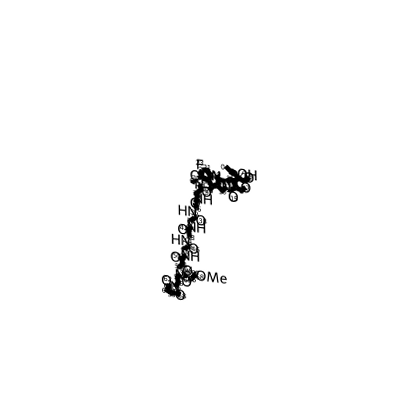 CC#C[C@@]1(O)C(=O)OCc2c1cc1n(c2=O)Cc2c-1nc1cc(F)c3c(c1c2C)N(C(=O)CNOCNC(=O)CNC(=O)CNC(=O)CNC(=O)CCN(CCN1C(=O)C=CC1=O)S(=O)(=O)CCOC)CO3